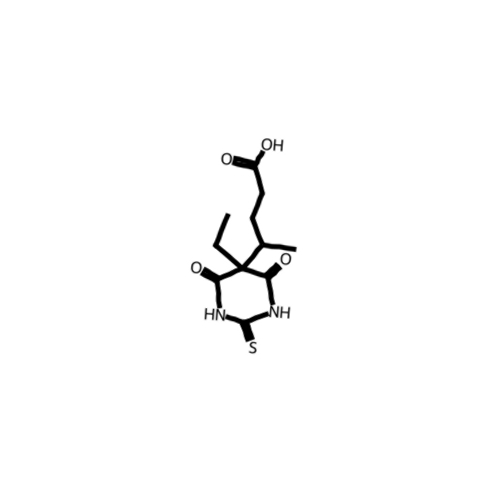 CCC1(C(C)CCC(=O)O)C(=O)NC(=S)NC1=O